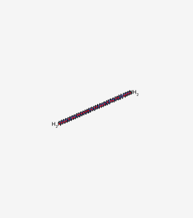 N/N=N/N=N/N=N/N=N/N=N/N=N/N=N/N=N/N=N/N=N/N=N/N=N/N=N/N=N/N=N/N=N/N=N/N=N/N=N/N=N/N=N/N=N/N=N/N=N/N=N/N=N/N=N/N=N/N=N/N=N/N=N/N=N/N=N/N